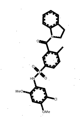 COc1cc(OC)c(NS(=O)(=O)c2ccc(C)c(C(=O)N3CCc4ccccc43)c2)cc1Cl